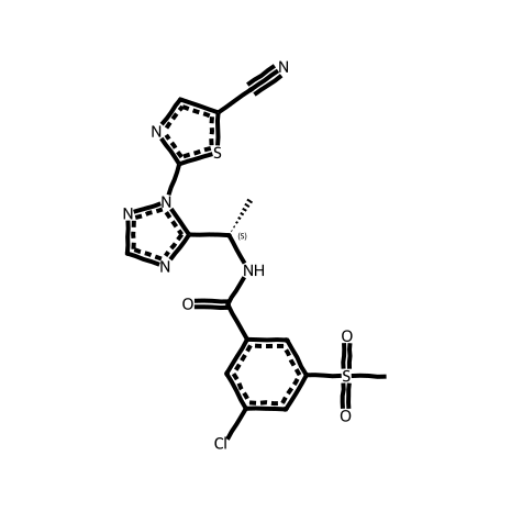 C[C@H](NC(=O)c1cc(Cl)cc(S(C)(=O)=O)c1)c1ncnn1-c1ncc(C#N)s1